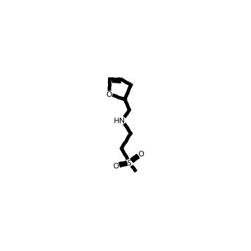 CS(=O)(=O)CCNC[C]1CC=CO1